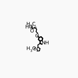 CC[C@H](CCCOc1ccc2[nH]cc(CC3CCCN3C)c2c1)C(=O)O